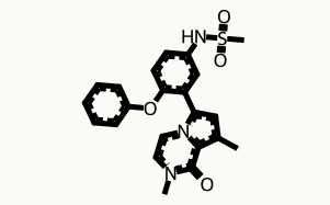 Cc1cc(-c2cc(NS(C)(=O)=O)ccc2Oc2ccccc2)n2ccn(C)c(=O)c12